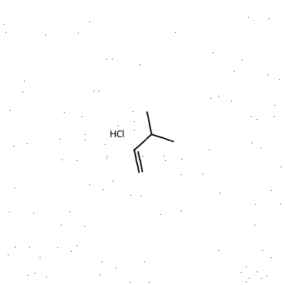 C=CC(C)C.Cl